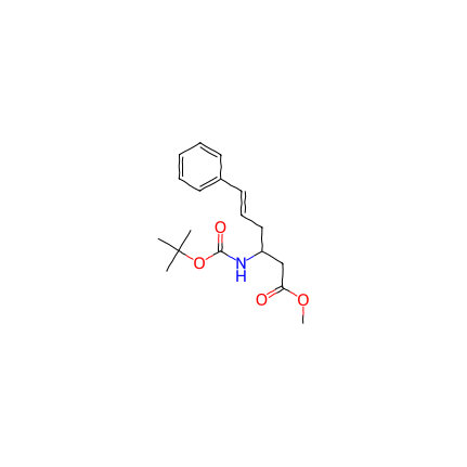 COC(=O)CC(CC=Cc1ccccc1)NC(=O)OC(C)(C)C